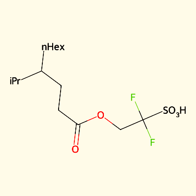 CCCCCCC(CCC(=O)OCC(F)(F)S(=O)(=O)O)C(C)C